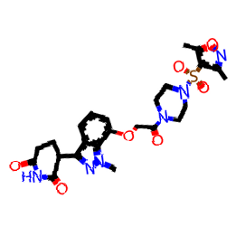 Cc1noc(C)c1S(=O)(=O)N1CCN(C(=O)COc2cccc3c(C4CCC(=O)NC4=O)nn(C)c23)CC1